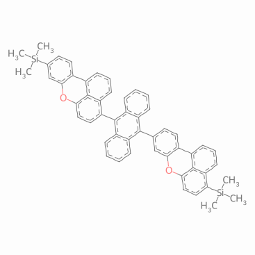 C[Si](C)(C)c1ccc2c(c1)Oc1ccc(-c3c4ccccc4c(-c4ccc5c(c4)Oc4ccc([Si](C)(C)C)c6cccc-5c46)c4ccccc34)c3cccc-2c13